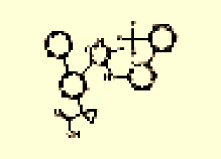 Cc1noc(-c2cc(C3(C(=O)O)CC3)ccc2-c2ccccc2)c1Nc1cccc(-c2ccccc2C(F)(F)F)n1